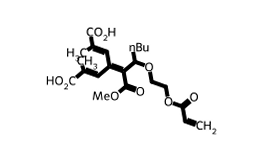 C=CC(=O)OCCOC(CCCC)C(C(=O)OC)=C(C=C(C)C(=O)O)C=C(C)C(=O)O